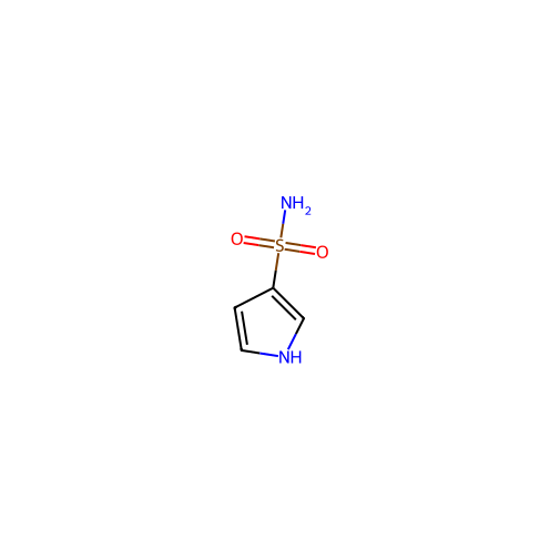 NS(=O)(=O)c1cc[nH]c1